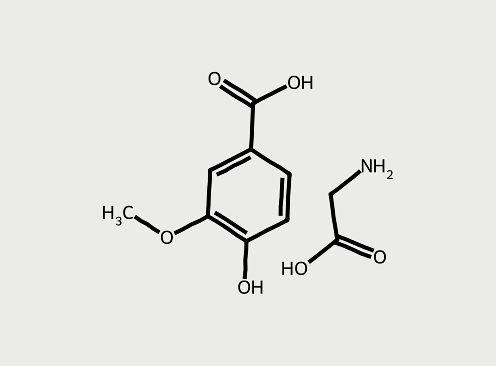 COc1cc(C(=O)O)ccc1O.NCC(=O)O